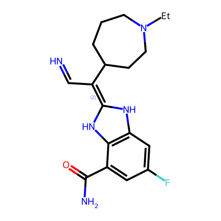 CCN1CCCC(/C(C=N)=C2\Nc3cc(F)cc(C(N)=O)c3N2)CC1